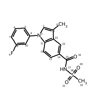 Cc1cn(-c2cccc(F)c2)c2ccc(C(=O)NS(C)(=O)=O)cc12